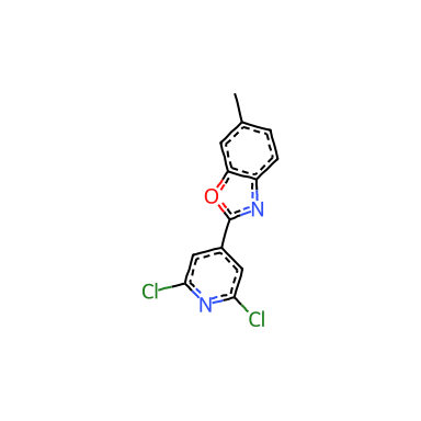 Cc1ccc2nc(-c3cc(Cl)nc(Cl)c3)oc2c1